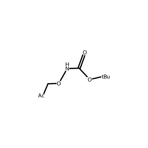 CC(=O)CONC(=O)OC(C)(C)C